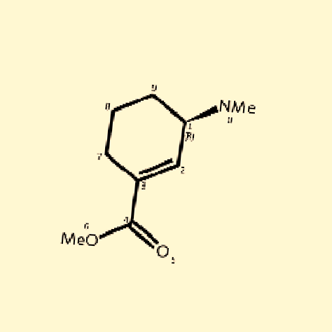 CN[C@H]1C=C(C(=O)OC)CCC1